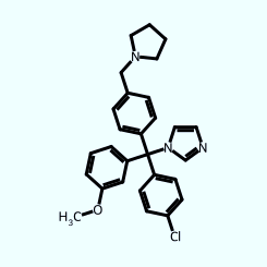 COc1cccc(C(c2ccc(Cl)cc2)(c2ccc(CN3CCCC3)cc2)n2ccnc2)c1